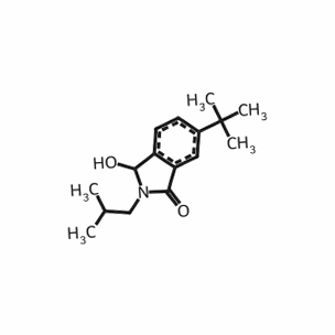 CC(C)CN1C(=O)c2cc(C(C)(C)C)ccc2C1O